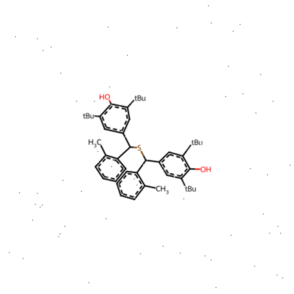 Cc1ccccc1C(SC(c1cc(C(C)(C)C)c(O)c(C(C)(C)C)c1)c1ccccc1C)c1cc(C(C)(C)C)c(O)c(C(C)(C)C)c1